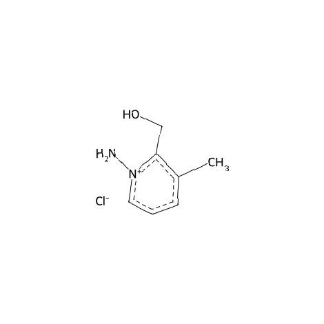 Cc1ccc[n+](N)c1CO.[Cl-]